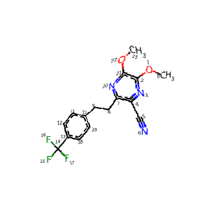 COc1nc(C#N)c(CCc2ccc(C(F)(F)F)cc2)nc1OC